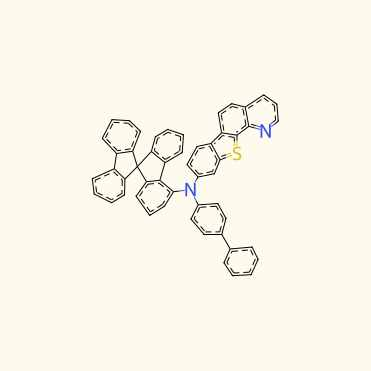 c1ccc(-c2ccc(N(c3ccc4c(c3)sc3c4ccc4cccnc43)c3cccc4c3-c3ccccc3C43c4ccccc4-c4ccccc43)cc2)cc1